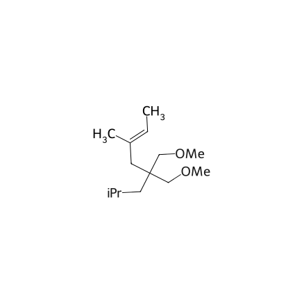 CC=C(C)CC(COC)(COC)CC(C)C